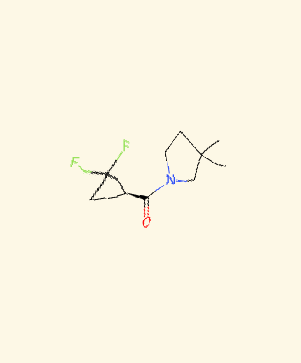 CC1(C)CCN(C(=O)[C@H]2CC2(F)F)C1